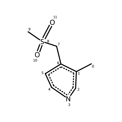 Cc1cnccc1CS(C)(=O)=O